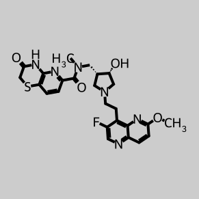 COc1ccc2ncc(F)c(CCN3C[C@H](CN(C)C(=O)c4ccc5c(n4)NC(=O)CS5)[C@H](O)C3)c2n1